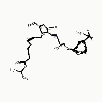 CC(C)OC(=O)CCC/C=C\C[C@@H]1C(/C=C/[C@@H](O)COc2cccc(C(F)(F)P)c2)[C@H](O)C[C@@H]1O